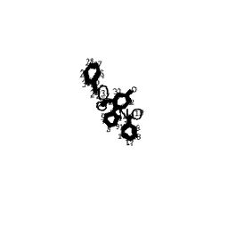 CC1Cc2c(c3ccccc3n2C(=O)c2ccccc2)C(C(=O)OCc2ccccc2)C1